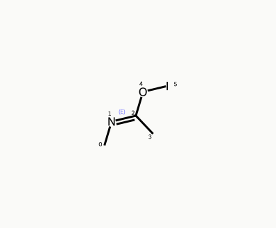 C/N=C(\C)OI